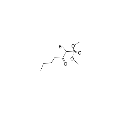 CCCCC(=O)C(Br)P(=O)(OC)OC